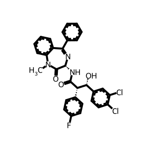 CN1C(=O)[C@@H](NC(=O)[C@@H](c2ccc(F)cc2)[C@H](O)c2ccc(Cl)c(Cl)c2)N=C(c2ccccc2)c2ccccc21